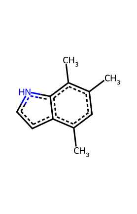 Cc1cc(C)c2cc[nH]c2c1C